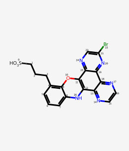 O=S(=O)(O)CCCc1cccc2c1Oc1c(c3nccnc3c3nc(Br)cnc13)N2